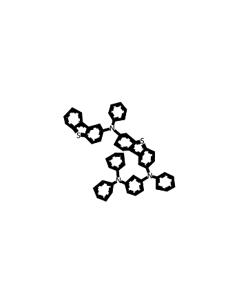 c1ccc(N(c2ccccc2)c2cccc(N(c3ccccc3)c3ccc4sc5cc(N(c6ccccc6)c6ccc7sc8ccccc8c7c6)ccc5c4c3)c2)cc1